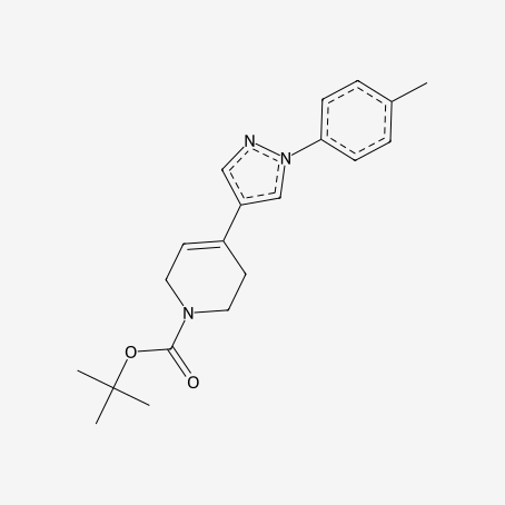 Cc1ccc(-n2cc(C3=CCN(C(=O)OC(C)(C)C)CC3)cn2)cc1